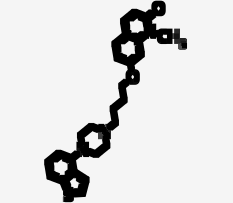 Cn1c(=O)ccc2ccc(OCCCCN3CCN(c4cccc5sccc45)CC3)cc21